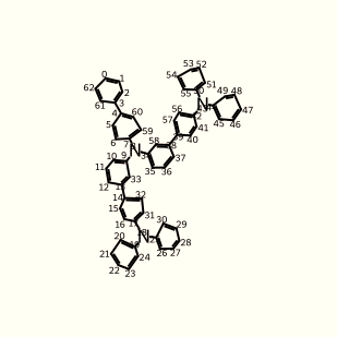 c1ccc(-c2ccc(N(c3cccc(-c4ccc(N(c5ccccc5)c5ccccc5)cc4)c3)c3cccc(-c4ccc(N(c5ccccc5)c5ccccc5)cc4)c3)cc2)cc1